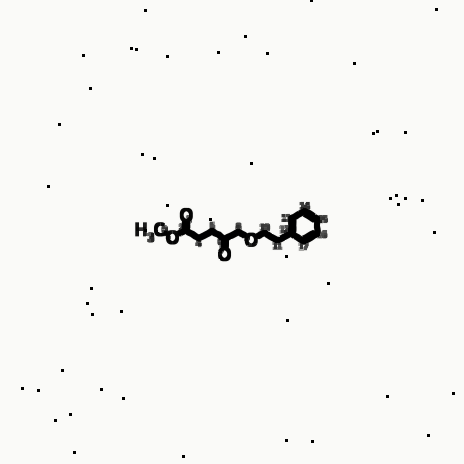 COC(=O)CCC(=O)COCCc1ccccc1